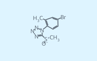 Cc1cc(Br)ccc1-n1nnnc1[S+](C)[O-]